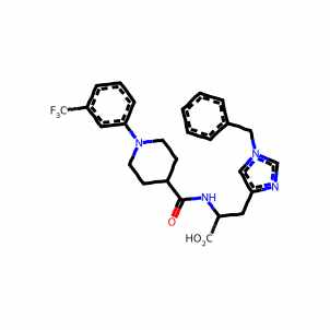 O=C(NC(Cc1cn(Cc2ccccc2)cn1)C(=O)O)C1CCN(c2cccc(C(F)(F)F)c2)CC1